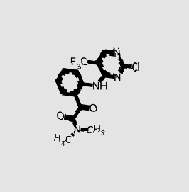 CN(C)C(=O)C(=O)c1ccccc1Nc1nc(Cl)ncc1C(F)(F)F